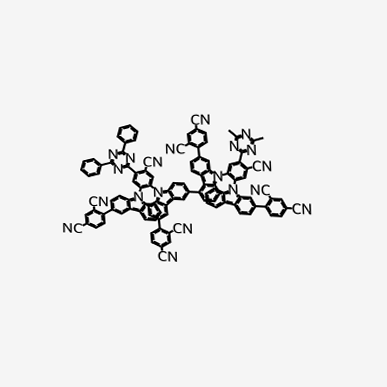 Cc1nc(C)nc(-c2cc(-n3c4cc(-c5ccc(C#N)cc5C#N)ccc4c4c(-c5ccc6c(c5)c5cc(-c7ccc(C#N)cc7C#N)ccc5n6-c5cc(C#N)c(-c6nc(-c7ccccc7)nc(-c7ccccc7)n6)cc5-n5c6ccccc6c6cc(-c7ccc(C#N)cc7C#N)ccc65)cccc43)c(-n3c4ccccc4c4ccc(-c5ccc(C#N)cc5C#N)cc43)cc2C#N)n1